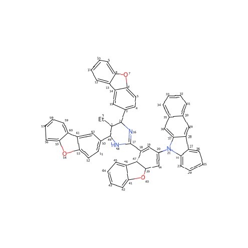 CCC1C(c2ccc3oc4ccccc4c3c2)N=C(C2=CC(n3c4ccccc4c4cc5ccccc5cc43)=CC3Oc4ccccc4C23)NC1c1ccc2oc3ccccc3c2c1